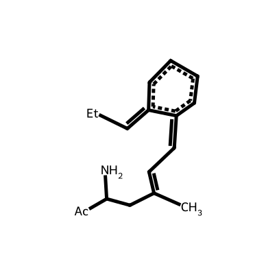 CC\C=c1/cccc/c1=C/C=C(\C)CC(N)C(C)=O